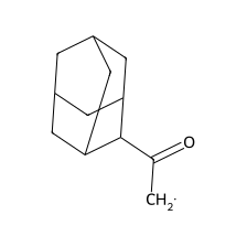 [CH2]C(=O)C1C2CC3CC(C2)CC1C3